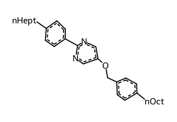 CCCCCCCCc1ccc(COc2cnc(-c3ccc(CCCCCCC)cc3)nc2)cc1